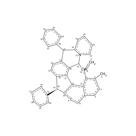 C=Cc1c(C)ccc2ccc3c(c12)-c1c(ccc2c1C(C)[n+]1ccccc1C2c1ccccc1)[C@@H]3c1ccccc1